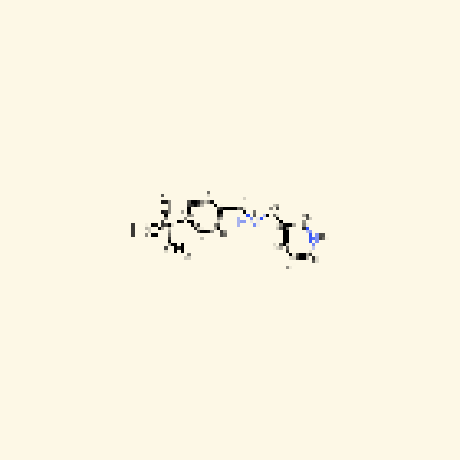 CC(C)(C)c1ccc(CNCc2cccnc2)cc1